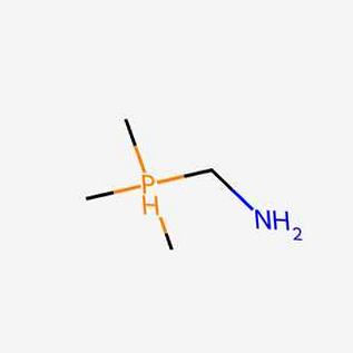 C[PH](C)(C)CN